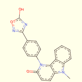 Cn1c2ccccc2c2c1ccc(=O)n2-c1ccc(-c2noc(O)n2)cc1